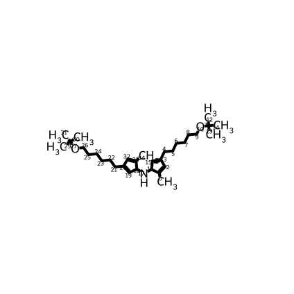 CC1=CC(CCCCCCOC(C)(C)C)=CC1NC1C=C(CCCCCCOC(C)(C)C)C=C1C